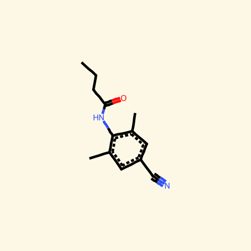 CCCC(=O)Nc1c(C)cc(C#N)cc1C